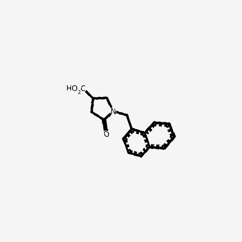 O=C(O)C1CC(=O)N(Cc2cccc3ccccc23)C1